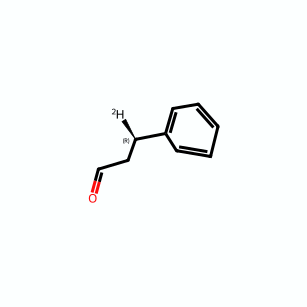 [2H][C@H](CC=O)c1ccccc1